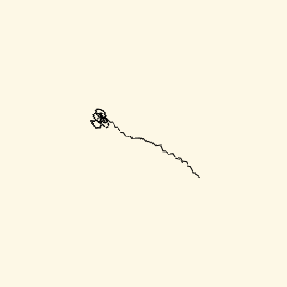 CCCCCCCCCCCCCCCCCCCCCCCCCCCCS(=O)(=O)Oc1ccccc1